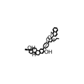 C#C[C@]1(O)CCC2[C@@H]3CCc4cc(O)c(N5CCN(C(=O)CN(CCC)C(=O)c6ccc7ccccc7n6)CC5)cc4C3CC[C@@]21C